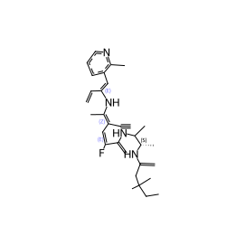 C#CC(/C=C(/F)C(=C)NC(C)[C@H](C)NC(=C)CC(C)(C)CC)=C(/C)N/C(C=C)=C/c1cccnc1C